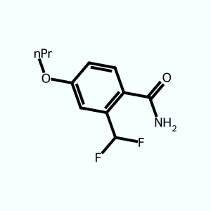 CCCOc1ccc(C(N)=O)c(C(F)F)c1